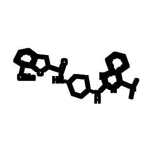 COc1cccc2c1OC(C(=O)N[C@H]1CC[C@@H](Nc3nc(N(C)C)c4ccccc4n3)CC1)C2